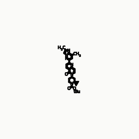 Cc1cn2nc(-c3ccc4c(=O)n(C5CCN(C(=O)OC(C)(C)C)C6(CC6)C5)ccc4n3)cc(C)c2n1